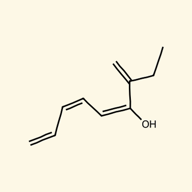 C=C/C=C\C=C(\O)C(=C)CC